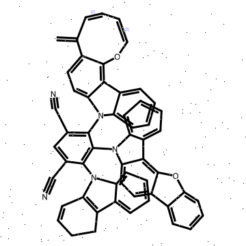 C=C1/C=C\C=C/Oc2c1ccc1c2c2ccccc2n1-c1c(C#N)cc(C#N)c(-n2c3c(c4ccccc42)CCC=C3)c1-n1c2ccccc2c2c3oc4ccccc4c3ccc21